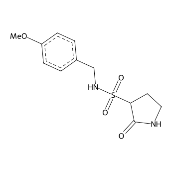 COc1ccc(CNS(=O)(=O)C2CCNC2=O)cc1